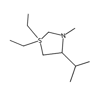 CCS1(CC)CC(C(C)C)N(C)C1